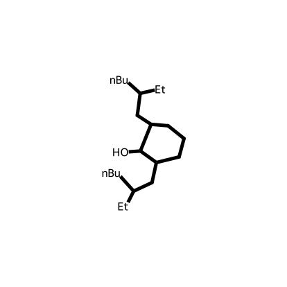 CCCCC(CC)CC1CCCC(CC(CC)CCCC)C1O